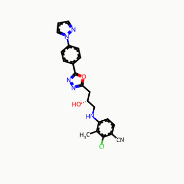 Cc1c(NC[C@H](O)Cc2nnc(-c3ccc(-n4cccn4)cc3)o2)ccc(C#N)c1Cl